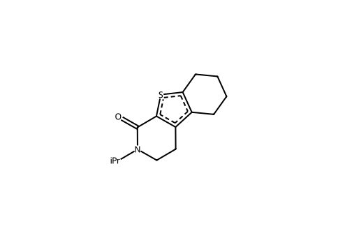 CC(C)N1CCc2c(sc3c2CCCC3)C1=O